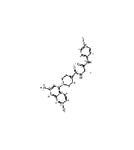 C[C@H](NC(=O)N1CCN(c2cc(N)nc3cc(Cl)ccc23)CC1)C(=O)Nc1ccc(F)cc1